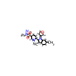 Cc1ccc2c(C#N)c(-c3ccc(S(=O)(=O)NC(C)C)cn3)n([C@@H]3CCOC3)c2c1